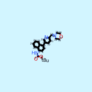 CC(C)(C)OC(=O)Nc1ccc(-c2ccc(CN3CCOCC3)nc2)c2ccccc12